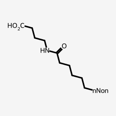 CCCCCCCCCCCCCCC(=O)NCCCC(=O)O